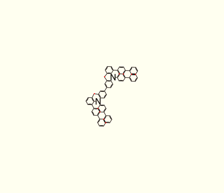 Cc1cc(-c2ccc(N(c3ccc(-c4ccccc4)cc3)c3c(C)cccc3-c3ccc(-c4ccccc4)cc3)c(C)c2)ccc1N(c1ccc(-c2ccccc2)cc1)c1c(C)cccc1-c1ccc(-c2ccccc2)cc1